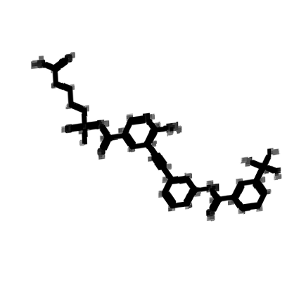 CS(=O)(CCCCC(=O)O)=NC(=O)c1cnc(N)c(C#Cc2cccc(NC(=O)c3cccc(C(F)(F)F)c3)c2)c1